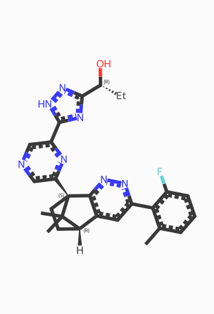 CC[C@@H](O)c1n[nH]c(-c2cncc([C@@]34CC[C@@H](c5cc(-c6c(C)cccc6F)nnc53)C4(C)C)n2)n1